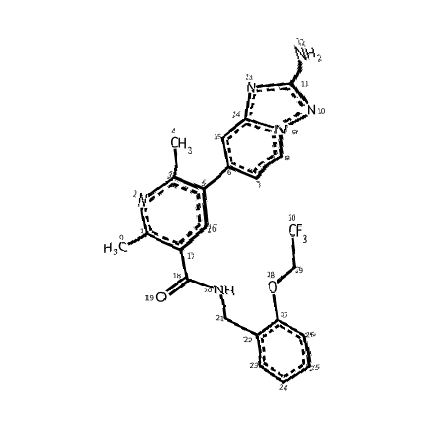 Cc1nc(C)c(-c2ccn3nc(N)nc3c2)cc1C(=O)NCc1ccccc1OCC(F)(F)F